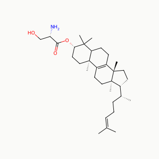 CC(C)=CCC[C@@H](C)[C@H]1CC[C@@]2(C)C3=C(CC[C@]12C)[C@@]1(C)CC[C@H](OC(=O)[C@@H](N)CO)C(C)(C)C1CC3